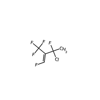 CC(F)(Cl)C(=CF)C(F)(F)F